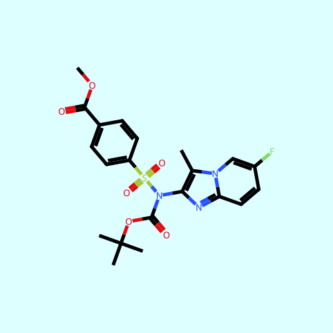 COC(=O)c1ccc(S(=O)(=O)N(C(=O)OC(C)(C)C)c2nc3ccc(F)cn3c2C)cc1